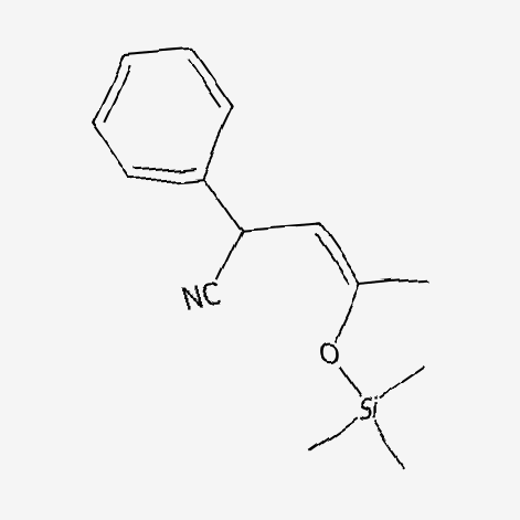 CC(=CC(C#N)c1ccccc1)O[Si](C)(C)C